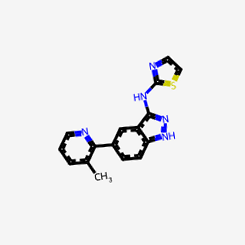 Cc1cccnc1-c1ccc2[nH]nc(Nc3nccs3)c2c1